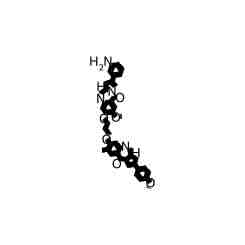 COc1ccc(C2=CC3C(=O)c4cc(C)c(OCCCOc5cc6c(cc5OC)C(=O)N5C=C(c7cccc(N)c7)C[C@H]5C=N6)cc4N=C[C@@H]3C2)cc1